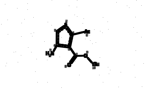 CC(=O)c1scc(N)c1C(=O)OC(C)(C)C